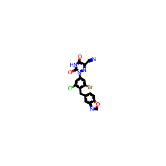 N#Cc1nn(-c2cc(Cl)c(Cc3ccc4ocnc4c3)c(Br)c2)c(=O)[nH]c1=O